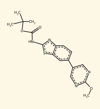 COc1ncc(-c2ccc3nc(NC(=O)OC(C)(C)C)sc3c2)cn1